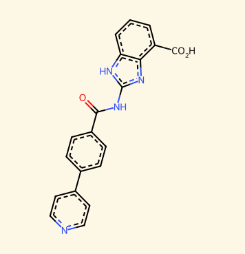 O=C(Nc1nc2c(C(=O)O)cccc2[nH]1)c1ccc(-c2ccncc2)cc1